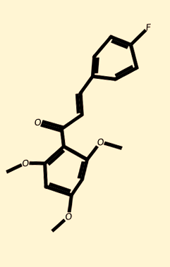 COc1cc(OC)c(C(=O)/C=C/c2ccc(F)cc2)c(OC)c1